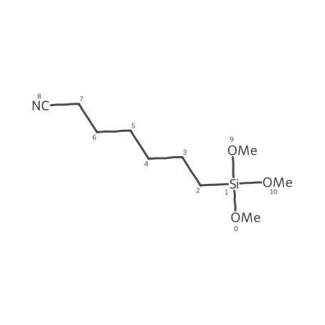 CO[Si](CCCCCCC#N)(OC)OC